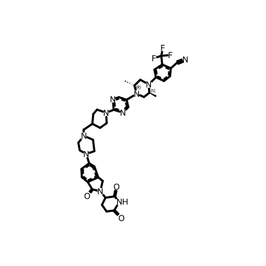 C[C@@H]1CN(c2ccc(C#N)c(C(F)(F)F)c2)[C@@H](C)CN1c1cnc(N2CCC(CN3CCN(c4ccc5c(c4)CN(C4CCC(=O)NC4=O)C5=O)CC3)CC2)nc1